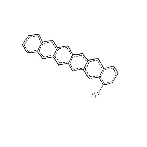 Nc1cccc2cc3cc4cc5cc6ccccc6cc5cc4cc3cc12